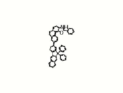 c1ccc(C2Nc3ccc4ccc5cc(-c6ccc7c(c6)C(c6ccccc6)(c6ccccc6)c6cc8ccccc8cc6-7)ccc5c4c3O2)cc1